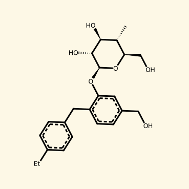 CCc1ccc(Cc2ccc(CO)cc2O[C@@H]2O[C@H](CO)[C@@H](C)[C@H](O)[C@H]2O)cc1